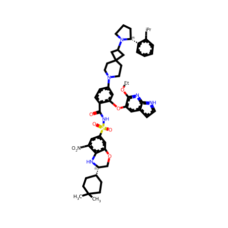 CCOc1nc2[nH]ccc2cc1Oc1cc(N2CCC3(CC2)CC(N2CCC[C@@H]2c2ccccc2C(C)C)C3)ccc1C(=O)NS(=O)(=O)c1cc2c(c([N+](=O)[O-])c1)N[C@@H](C1CCC(C)(C)CC1)CO2